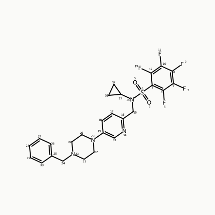 O=S(=O)(c1c(F)c(F)c(F)c(F)c1F)N(Cc1ccc(N2CCN(Cc3ccccc3)CC2)cn1)C1CC1